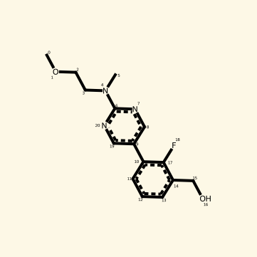 COCCN(C)c1ncc(-c2cccc(CO)c2F)cn1